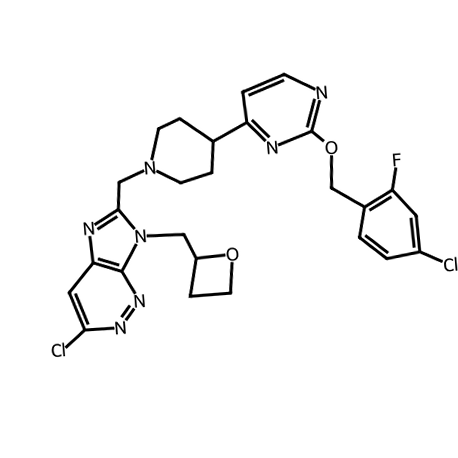 Fc1cc(Cl)ccc1COc1nccc(C2CCN(Cc3nc4cc(Cl)nnc4n3CC3CCO3)CC2)n1